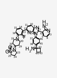 Nc1ncccc1-c1nc2ccc(-c3cccc(N4CCC(N5CCCS5(=O)=O)CC4)c3F)nc2n1-c1ccc(C2(N)CCC2)cc1